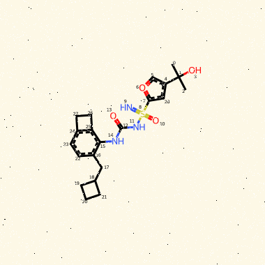 CC(C)(O)c1coc(S(=N)(=O)NC(=O)Nc2c(CC3CCC3)ccc3c2CC3)c1